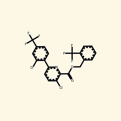 O=C(OCc1ccccc1C(F)(F)F)c1nc(-c2ccc(C(F)(F)F)cc2Cl)ccc1Cl